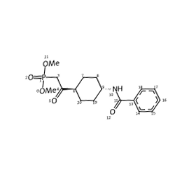 COP(=O)(CC(=O)[C@H]1CC[C@H](NC(=O)c2ccccc2)CC1)OC